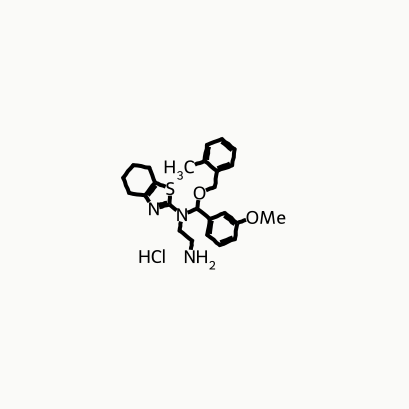 COc1cccc(C(OCc2ccccc2C)N(CCN)c2nc3c(s2)CCCC3)c1.Cl